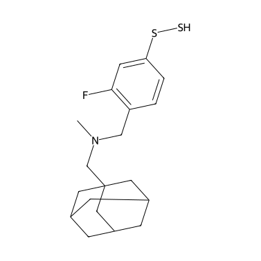 CN(Cc1ccc(SS)cc1F)CC12CC3CC(CC(C3)C1)C2